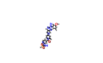 COc1cc(C)cc(Nc2ncc3c(n2)CN([C@H]2CCN(C(=O)c4ccnc(NS(C)(=O)=O)c4)[C@H](C)C2)C3)c1